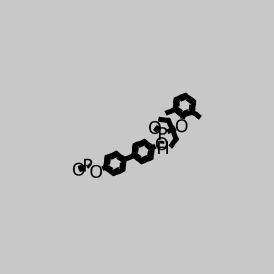 CCC(CC)(Oc1c(C)cccc1C)[PH](=O)Oc1ccc(-c2ccc(OP=O)cc2)cc1